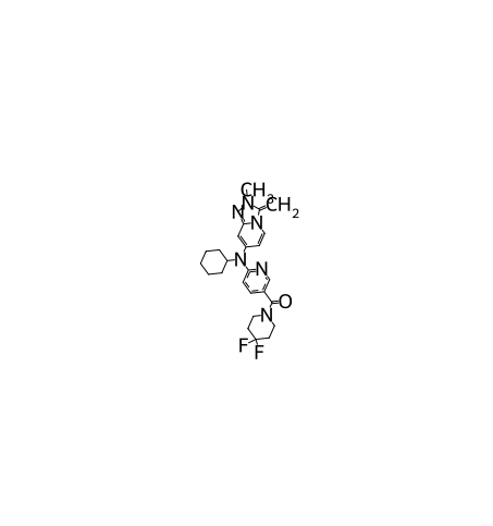 C=C1N(C)N=C2C=C(N(c3ccc(C(=O)N4CCC(F)(F)CC4)cn3)C3CCCCC3)C=CN12